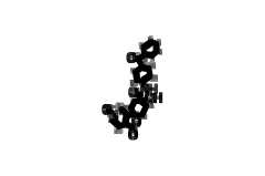 O=C(c1ccccc1)c1ccc(NC(=O)C2(O)CCC3(CC2)OC(=O)c2cc[n+]([O-])cc23)cc1